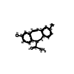 NC(=O)N1Cc2ccc(Br)cc2C=Cc2cc(Cl)ccc21